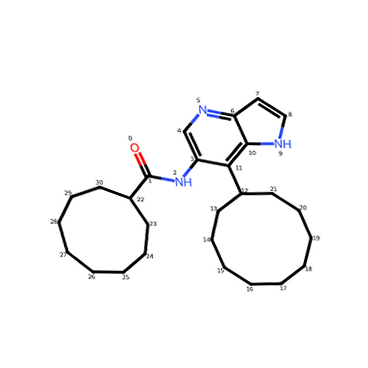 O=C(Nc1cnc2cc[nH]c2c1C1CCCCCCCCC1)C1CCCCCCCC1